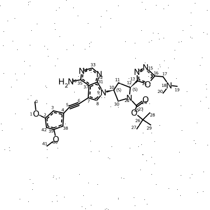 COc1cc(C#Cc2cn([C@H]3C[C@@H](c4nnc(CN(C)C)o4)N(C(=O)OC(C)(C)C)C3)c3ncnc(N)c23)cc(OC)c1